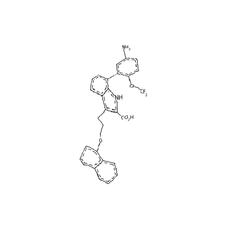 Nc1ccc(OC(F)(F)F)c(-c2cccc3c(CCCOc4cccc5ccccc45)c(C(=O)O)[nH]c23)c1